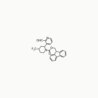 O=Cc1ncccc1C1CC(C(F)(F)F)CCN1C(=O)OCC1c2ccccc2-c2ccccc21